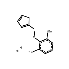 CC(C)(C)c1cccc(C(C)(C)C)c1[O][Ti][C]1=CC=CC1.I.I